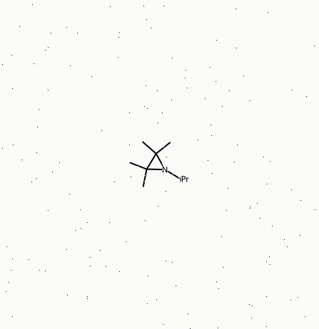 CC(C)N1C(C)(C)C1(C)C